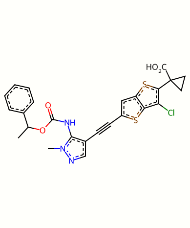 CC(OC(=O)Nc1c(C#Cc2cc3sc(C4(C(=O)O)CC4)c(Cl)c3s2)cnn1C)c1ccccc1